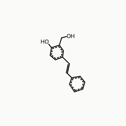 OCc1cc(C=Cc2ccccc2)ccc1O